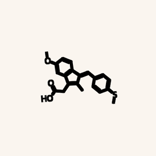 COc1ccc2c(c1)C(CC(=O)O)=C(C)C2=Cc1ccc(SC)cc1